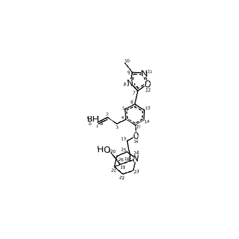 B.C=CCc1cc(-c2nc(C)no2)ccc1OCC1C(O)C2CCN1CC2